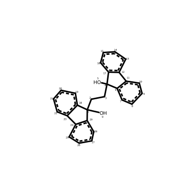 OC1(CCC2(O)c3ccccc3-c3ccccc32)c2ccccc2-c2ccccc21